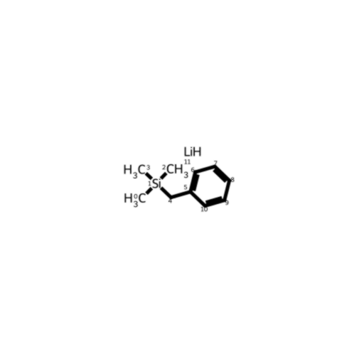 C[Si](C)(C)[CH]c1ccccc1.[LiH]